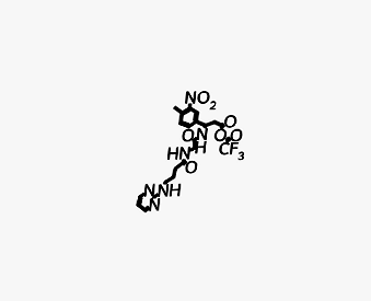 Cc1ccc(C(CC(=O)OC(=O)C(F)(F)F)NC(=O)CNC(=O)CCCNc2ncccn2)cc1[N+](=O)[O-]